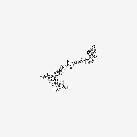 Cc1cc(C)c(CNC(=O)c2cc(-c3ccc(N4CCN(CCNC(=O)CCOCCOCCNc5cccc6c5C(=O)N(C5CCC(=O)NC5=O)C6=O)CC4)nc3)cc3c2cnn3C(C)C)c(=O)[nH]1